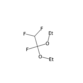 CCOC(F)(OCC)C(F)F